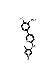 COc1cc(-c2cnc(Nc3cn(C)nc3C)nc2)ccc1C#N